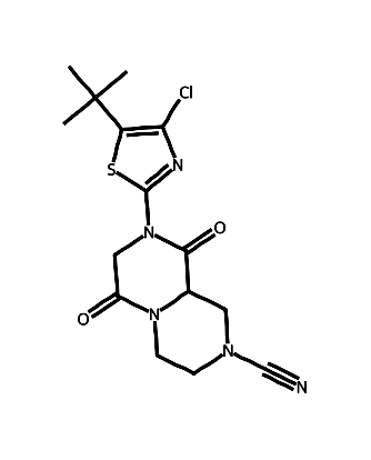 CC(C)(C)c1sc(N2CC(=O)N3CCN(C#N)CC3C2=O)nc1Cl